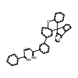 N=C(/C=C\C(=N)c1cccc(-c2ccc3c(c2)C2(c4ccccc4O3)c3ccccc3-c3ccccc32)c1)c1ccccc1